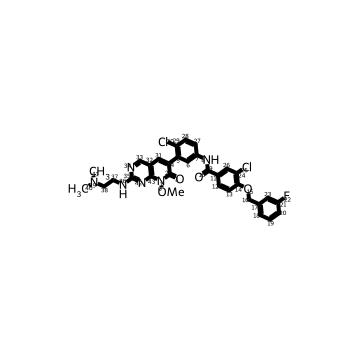 COn1c(=O)c(-c2cc(NC(=O)c3ccc(OCc4cccc(F)c4)c(Cl)c3)ccc2Cl)cc2cnc(NCCN(C)C)nc21